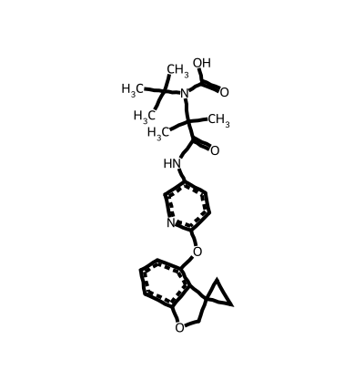 CC(C)(C)N(C(=O)O)C(C)(C)C(=O)Nc1ccc(Oc2cccc3c2C2(CC2)CO3)nc1